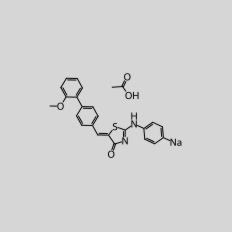 CC(=O)O.COc1ccccc1-c1ccc(/C=C2\SC(Nc3cc[c]([Na])cc3)=NC2=O)cc1